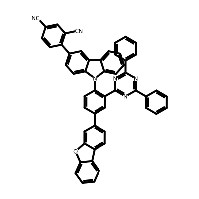 N#Cc1ccc(-c2ccc3c(c2)c2ccccc2n3-c2ccc(-c3ccc4c(c3)oc3ccccc34)cc2-c2nc(-c3ccccc3)nc(-c3ccccc3)n2)c(C#N)c1